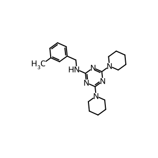 Cc1cccc(CNc2nc(N3CCCCC3)nc(N3CCCCC3)n2)c1